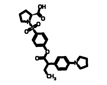 CCC(C(=O)Oc1ccc(S(=O)(=O)N2CCC[C@@H]2C(=O)O)cc1)c1ccc(N2CCCC2)cc1